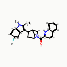 CCn1c(C)c(C2CC3CC2CN3C(=O)c2ccc3ccccc3n2)c2cc(F)ccc21